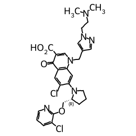 CN(C)CCn1cc(Cn2cc(C(=O)O)c(=O)c3cc(Cl)c(N4CCC[C@@H]4COc4ncccc4Cl)cc32)cn1